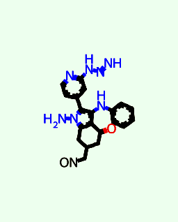 N=NNc1cc(-c2c(Nc3ccccc3)c3c(n2N)CC(CN=O)CC3=O)ccn1